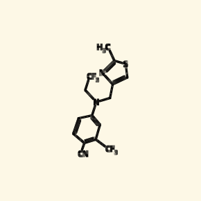 Cc1nc(CN(CC(F)(F)F)c2ccc(C#N)c(C(F)(F)F)c2)cs1